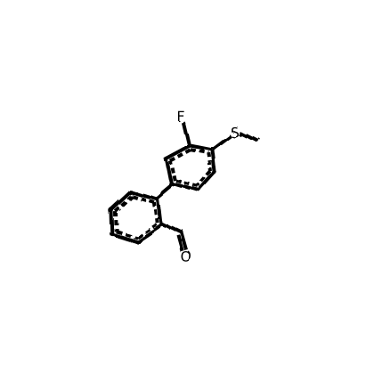 CSc1ccc(-c2ccccc2C=O)cc1F